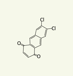 O=C1C=CC(=O)c2cc3cc(Cl)c(Cl)cc3cc21